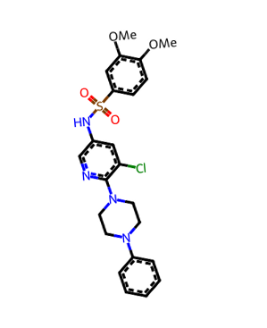 COc1ccc(S(=O)(=O)Nc2cnc(N3CCN(c4ccccc4)CC3)c(Cl)c2)cc1OC